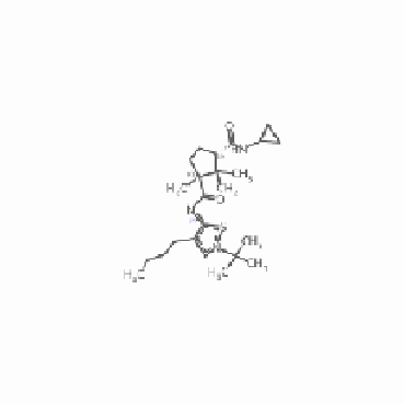 CCCCc1cn(C(C)(C)C)s/c1=N\C(=O)[C@]1(C)CC[C@H](C(=O)NC2CC2)C1(C)C